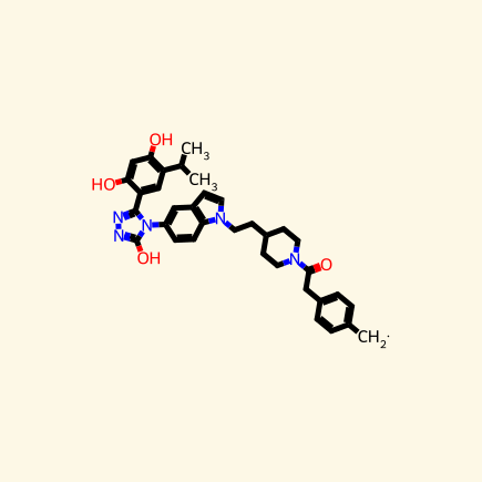 [CH2]c1ccc(CC(=O)N2CCC(CCn3ccc4cc(-n5c(O)nnc5-c5cc(C(C)C)c(O)cc5O)ccc43)CC2)cc1